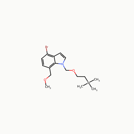 COCc1ccc(Br)c2ccn(COCC[Si](C)(C)C)c12